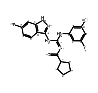 O=C(/N=C(/Nc1cc(F)cc(Cl)c1)Nc1n[nH]c2cc(F)ccc12)C1CCCC1